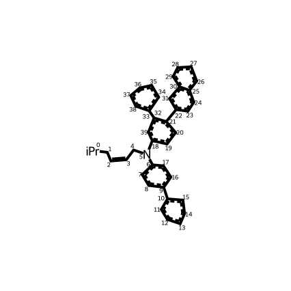 CC(C)C/C=C\CN(c1ccc(-c2ccccc2)cc1)c1ccc(-c2ccc3ccccc3c2)c(-c2ccccc2)c1